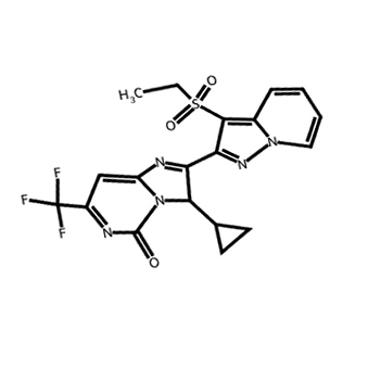 CCS(=O)(=O)c1c(C2=Nc3cc(C(F)(F)F)nc(=O)n3C2C2CC2)nn2ccccc12